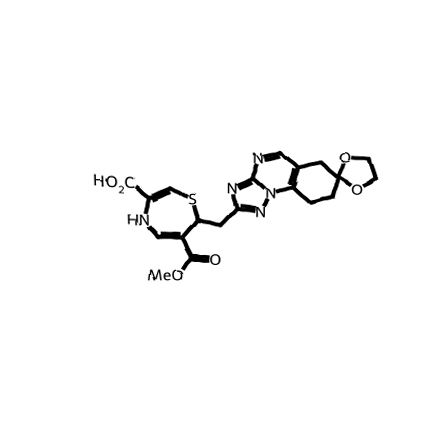 COC(=O)C1=CNC(C(=O)O)=CSC1Cc1nc2ncc3c(n2n1)CCC1(C3)OCCO1